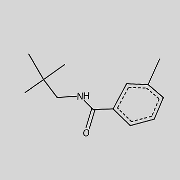 Cc1cccc(C(=O)NCC(C)(C)C)c1